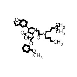 CCCCN(CCCN(C)C)C(=O)CN1C[C@H](c2ccc3c(c2)CCO3)[C@@H](C(=O)O)[C@@H]1CCOc1ccccc1OC